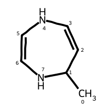 CC1C=CNC=CN1